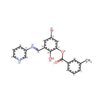 Cc1cccc(C(=O)Oc2cc(Br)cc(C=Nc3cccnc3)c2O)c1